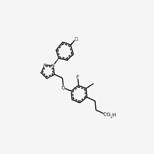 Cc1c(CCC(=O)O)ccc(OCc2ccnn2-c2ccc(Cl)cc2)c1F